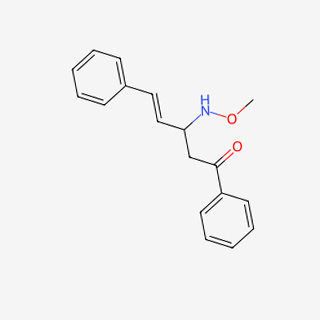 CONC(/C=C/c1ccccc1)CC(=O)c1ccccc1